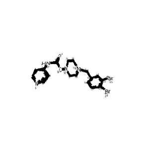 O=C(Nc1ccncc1)ON1CCN(Cc2ccc(Br)c(Br)c2)CC1